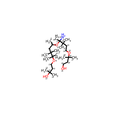 CC(CC(C)(C)C(C)(C)OCCC(C)(C)O)OC(C)(N)C(C)(C)CCOC(C)(C)CCO